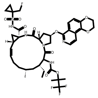 CC[C@@H]1C[C@H](C)CC/C=C\[C@@H]2C[C@@]2(C(=O)NS(=O)(=O)C2(CF)CC2)NC(=O)[C@@H]2C[C@@H](Oc3nccc4c5c(ccc34)OCCO5)CN2C(=O)C1NC(=O)OC(C)(C)C(F)(F)F